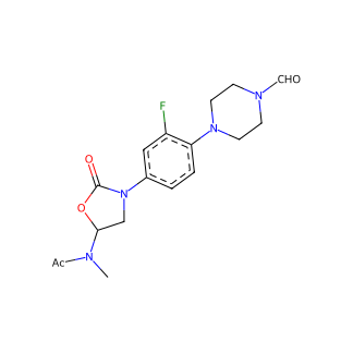 CC(=O)N(C)C1CN(c2ccc(N3CCN(C=O)CC3)c(F)c2)C(=O)O1